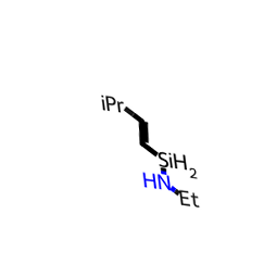 CCN[SiH2]C=CC(C)C